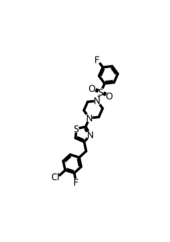 O=S(=O)(c1cccc(F)c1)N1CCN(c2nc(Cc3ccc(Cl)c(F)c3)cs2)CC1